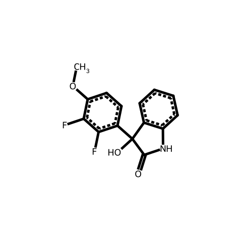 COc1ccc(C2(O)C(=O)Nc3ccccc32)c(F)c1F